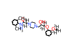 [2H]C([2H])([2H])Oc1ccccc1OC([2H])([2H])C(O)CN1CCN(C([2H])([2H])C(=O)Nc2c(C)cccc2C)CC1